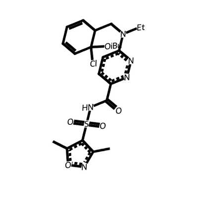 CCN(CC1C=CC=CC1(Cl)OCC(C)C)c1ccc(C(=O)NS(=O)(=O)c2c(C)noc2C)nn1